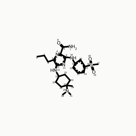 CCCc1nc(C(N)=O)c(Nc2cccc(S(C)(=O)=O)c2)nc1NC1CCC(C)(N(C)C)CC1